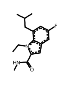 CCn1c(C(=O)NC)cc2cc(F)cc(CC(C)C)c21